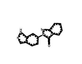 O=c1c2ccccc2[se]n1-c1ccc2cn[nH]c2c1